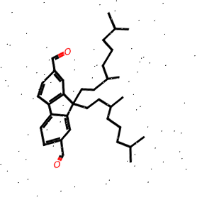 CC(C)CCCC(C)CCC1(CCC(C)CCCC(C)C)c2cc(C=O)ccc2-c2ccc(C=O)cc21